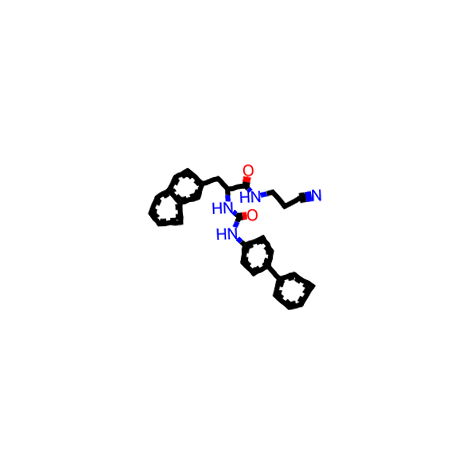 N#CCCNC(=O)C(Cc1ccc2ccccc2c1)NC(=O)Nc1ccc(-c2ccccc2)cc1